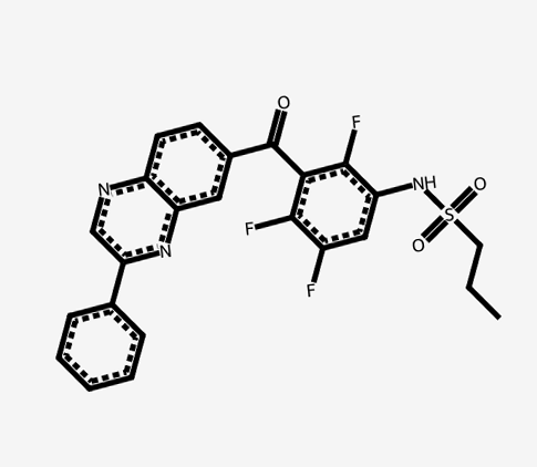 CCCS(=O)(=O)Nc1cc(F)c(F)c(C(=O)c2ccc3ncc(-c4ccccc4)nc3c2)c1F